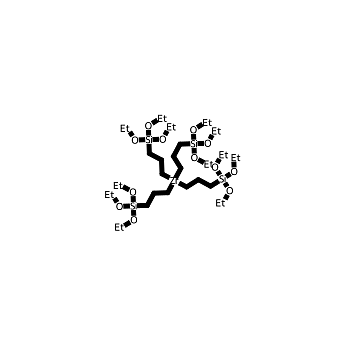 CCO[Si](CC[CH2][Zr]([CH2]CC[Si](OCC)(OCC)OCC)([CH2]CC[Si](OCC)(OCC)OCC)[CH2]CC[Si](OCC)(OCC)OCC)(OCC)OCC